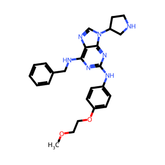 COCCOc1ccc(Nc2nc(NCc3ccccc3)c3ncn(C4CCNC4)c3n2)cc1